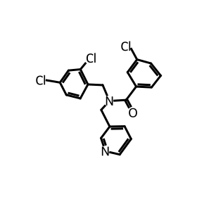 O=C(c1cccc(Cl)c1)N(Cc1cccnc1)Cc1ccc(Cl)cc1Cl